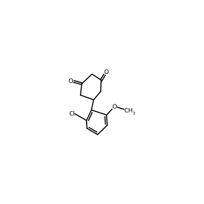 COc1cccc(Cl)c1C1CC(=O)CC(=O)C1